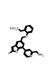 CCOC(=O)Cc1ccccc1OCc1cc(-c2ccnc(CN)c2)c2oc(F)cc2c1